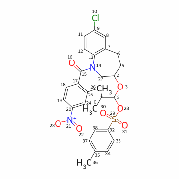 CCC(OC1CCc2cc(Cl)ccc2N(C(=O)c2ccc([N+](=O)[O-])cc2C)C1)OS(=O)(=O)c1ccc(C)cc1